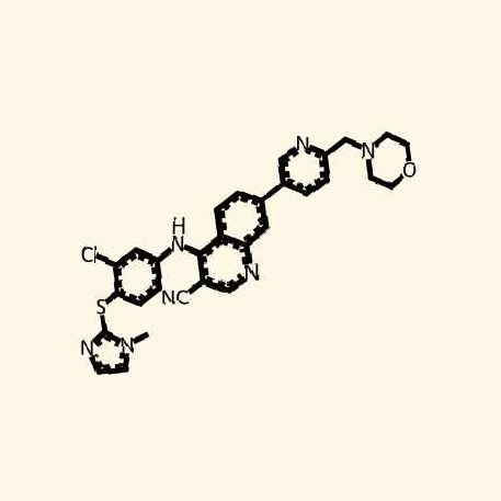 Cn1ccnc1Sc1ccc(Nc2c(C#N)cnc3cc(-c4ccc(CN5CCOCC5)nc4)ccc23)cc1Cl